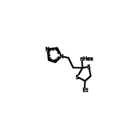 CCCCCCC1(CCn2ccnc2)SCC(CC)S1